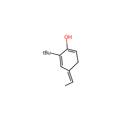 CC=C1C=C(C(C)(C)C)C(O)=CC1